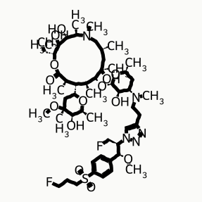 CC[C@H]1OC(=O)[C@H](C)[C@@H](C2C[C@@](C)(OC)[C@@H](O)[C@H](C)O2)[C@H](C)[C@@H](O[C@@H]2O[C@H](C)C[C@H](N(C)CCc3cn([C@H](CF)[C@H](OC)c4ccc(S(=O)(=O)CCCF)cc4)nn3)[C@H]2O)[C@](C)(O)C[C@@H](C)CN(C)[C@H](C)[C@@H](O)[C@]1(C)O